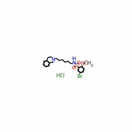 COc1ccc(Br)cc1S(=O)(=O)NCCCCCCN1CCc2ccccc2C1.Cl